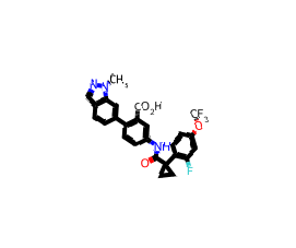 Cn1ncc2ccc(-c3ccc(NC(=O)C4(c5ccc(OC(F)(F)F)cc5F)CC4)cc3C(=O)O)cc21